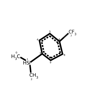 C[SiH](C)c1ccc(C(F)(F)F)cc1